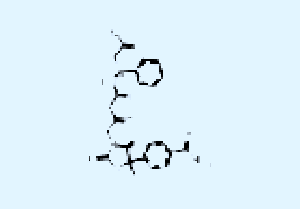 CC1(c2ccc(C(=N)N)cc2)NC(=O)N(CC(=O)CC(=O)N[C@@H](CC(=O)O)c2ccccc2)C1=O